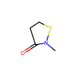 CN1SCCC1=O